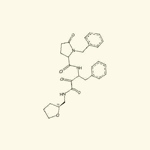 O=C(NC[C@@H]1CCCO1)C(=O)C(Cc1ccccc1)NC(=O)C1CCC(=O)N1Cc1ccccc1